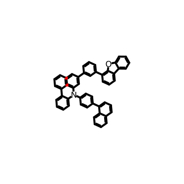 c1ccc(-c2ccccc2N(c2ccc(-c3cccc4ccccc34)cc2)c2cccc(-c3cccc(-c4cccc5c4oc4ccccc45)c3)c2)cc1